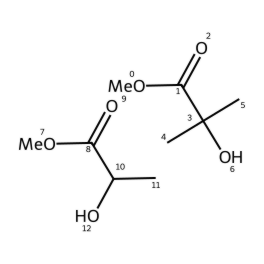 COC(=O)C(C)(C)O.COC(=O)C(C)O